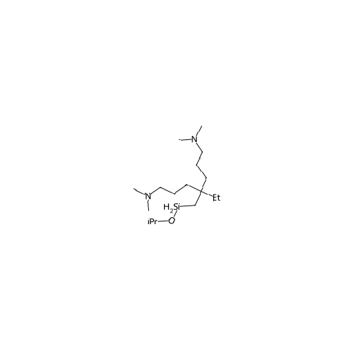 CCC(CCCN(C)C)(CCCN(C)C)C[SiH2]OC(C)C